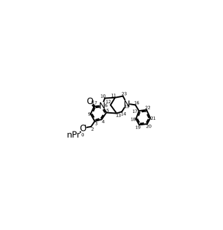 CCCOCc1cc2n(c(=O)c1)CC1CC2CN(Cc2ccccc2)C1